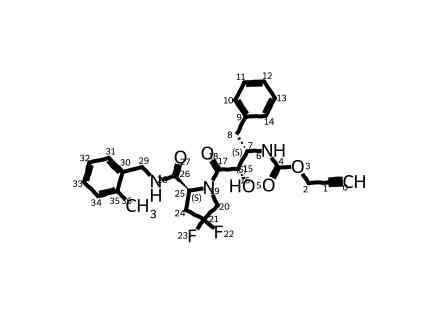 C#CCOC(=O)N[C@@H](Cc1ccccc1)[C@H](O)C(=O)N1CC(F)(F)C[C@H]1C(=O)NCc1ccccc1C